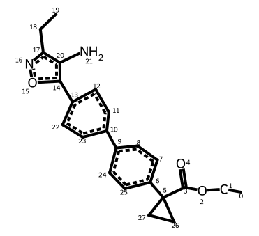 CCOC(=O)C1(c2ccc(-c3ccc(-c4onc(CC)c4N)cc3)cc2)CC1